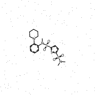 CN(C)S(=O)(=O)c1ccc(S(=O)(=O)N(C)c2ccccc2N2CCCCC2)s1